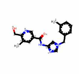 Cc1cccc(Cn2cnc(NC(=O)c3cnc(CO)c(C)c3)c2)c1